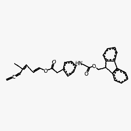 C=C=C/C(C)=C\C=C\OC(=O)Cc1ccc(NC(=O)OCC2c3ccccc3-c3ccccc32)cc1